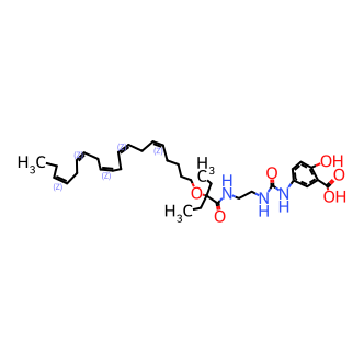 CC/C=C\C/C=C\C/C=C\C/C=C\C/C=C\CCCCOC(CC)(CC)C(=O)NCCNC(=O)Nc1ccc(O)c(C(=O)O)c1